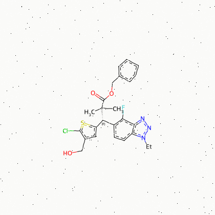 CCn1nnc2c(F)c([C@H](c3cc(CO)c(Cl)s3)C(C)(C)C(=O)OCc3ccccc3)ccc21